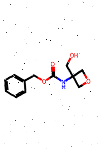 O=C(NC1(CO)COC1)OCc1ccccc1